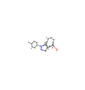 Cc1ccc(-n2ncc3c(O)cccc32)cc1